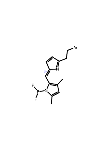 CC(=O)CCC1=N/C(=C\c2c(C)cc(C)n2B(F)F)C=C1